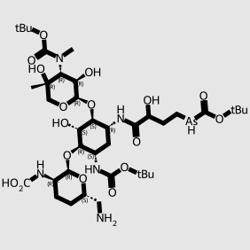 CN(C(=O)OC(C)(C)C)[C@@H]1[C@@H](O)[C@@H](O[C@@H]2[C@@H](O)[C@H](O[C@H]3O[C@H](CN)CC[C@H]3NC(=O)O)[C@@H](NC(=O)OC(C)(C)C)C[C@H]2NC(=O)C(O)CC[AsH]C(=O)OC(C)(C)C)OC[C@]1(C)O